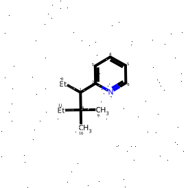 CCC(c1ccccn1)C(C)(C)CC